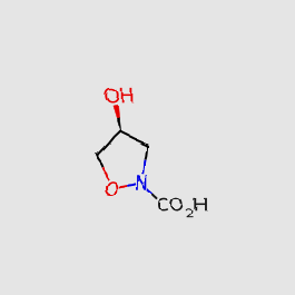 O=C(O)N1C[C@H](O)CO1